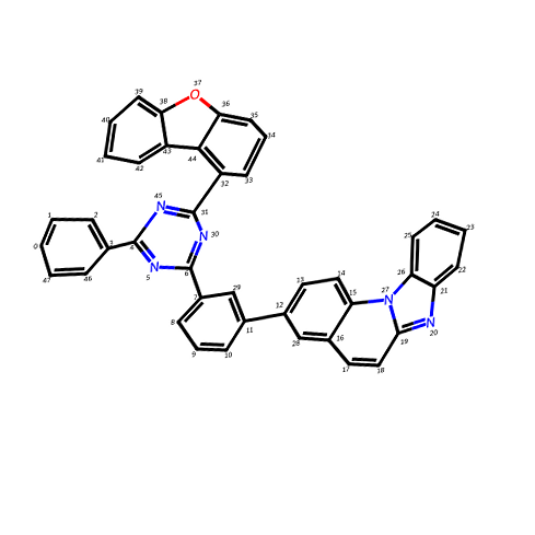 c1ccc(-c2nc(-c3cccc(-c4ccc5c(ccc6nc7ccccc7n65)c4)c3)nc(-c3cccc4oc5ccccc5c34)n2)cc1